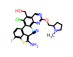 CN1CCCC1COc1ncc2c(CO)c(Cl)c(-c3ccc(F)c4sc(N)c(C#N)c34)c(F)c2n1